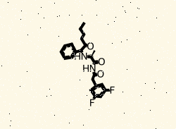 CCCCC(=O)C(N[C@@H](C)C(=O)NC(=O)Cc1cc(F)cc(F)c1)c1ccccc1